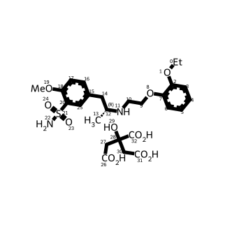 CCOc1ccccc1OCCN[C@H](C)Cc1ccc(OC)c(S(N)(=O)=O)c1.O=C(O)CC(O)(CC(=O)O)C(=O)O